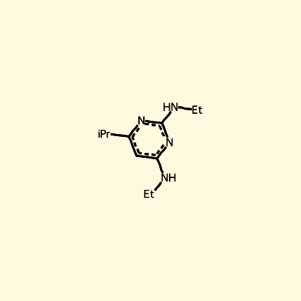 CCNc1cc(C(C)C)nc(NCC)n1